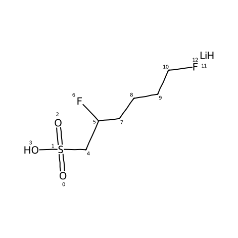 O=S(=O)(O)CC(F)CCCCF.[LiH]